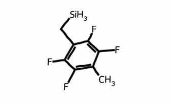 Cc1c(F)c(F)c(C[SiH3])c(F)c1F